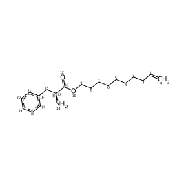 C=CCCCCCCCCOC(=O)[C@@H](N)Cc1ccccc1